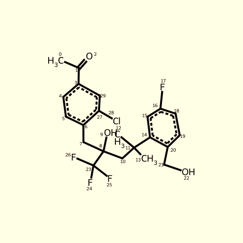 CC(=O)c1ccc(CC(O)(CC(C)(C)c2cc(F)ccc2CO)C(F)(F)F)c(Cl)c1